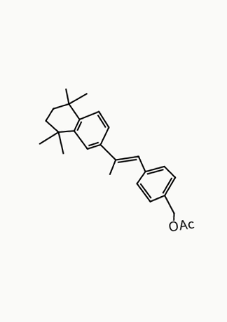 CC(=O)OCc1ccc(/C=C(\C)c2ccc3c(c2)C(C)(C)CCC3(C)C)cc1